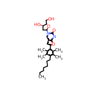 CCCCCCCc1c(C)c(C)c(-c2cc3cn(C4C[C@@H](O)C(CO)O4)c(=O)nc3o2)c(C)c1C